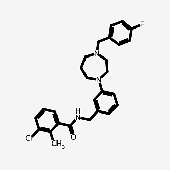 Cc1c(Cl)cccc1C(=O)NCc1cccc(N2CCCN(Cc3ccc(F)cc3)CC2)c1